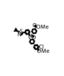 COc1ccc([C@H]2CC[C@H](CN(c3cccc(-c4cnc(C5CC5)s4)c3)C(=O)[C@H]3CC[C@H](C(=O)OC)CC3)CC2)cc1Cl